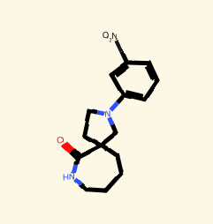 O=C1NCCCCC12CCN(c1cccc([N+](=O)[O-])c1)C2